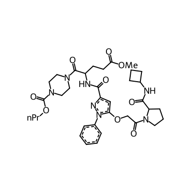 CCCOC(=O)N1CCN(C(=O)C(CCC(=O)OC)NC(=O)c2cc(OCC(=O)N3CCCC3C(=O)NC3CCC3)n(-c3ccccc3)n2)CC1